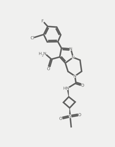 CS(=O)(=O)[C@H]1C[C@@H](NC(=O)N2CCn3nc(-c4ccc(F)c(Cl)c4)c(C(N)=O)c3C2)C1